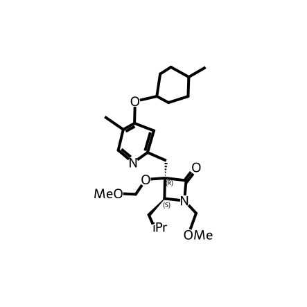 COCO[C@@]1(Cc2cc(OC3CCC(C)CC3)c(C)cn2)C(=O)N(COC)[C@H]1CC(C)C